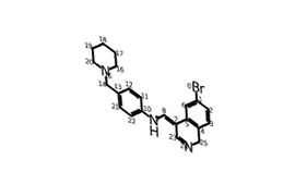 Brc1ccc2c(c1)/C(=C/Nc1ccc(CN3CCCCC3)cc1)C=NC2